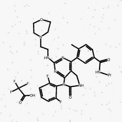 Cc1ccc(C(=O)NC(C)C)cc1-c1nc(NCCN2CCOCC2)nc2c1CNC(=O)N2c1c(F)cccc1F.O=C(O)C(F)(F)F